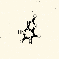 O=C1N=c2[nH]c(=O)[nH]c(=O)c2=N1